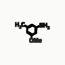 COc1cc(C)cc([SiH3])c1